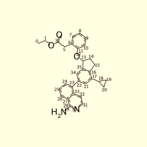 CCOC(=O)Cc1ccccc1OC1CCc2c(C3CC3)cc(-c3cccc4c(N)nccc34)cc21